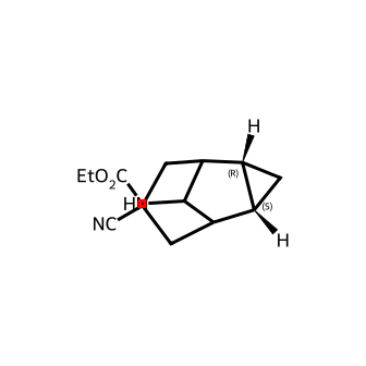 CCOC(=O)NC1C2CC(C#N)CC1[C@@H]1C[C@H]21